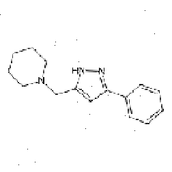 c1ccc(-c2cc(CN3CCCCC3)[nH]n2)cc1